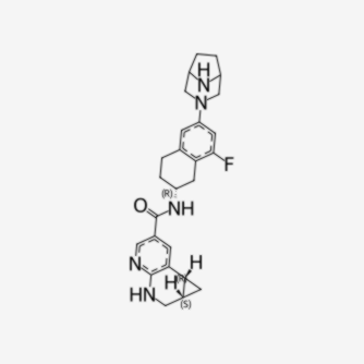 O=C(N[C@@H]1CCc2cc(N3CC4CCC(C3)N4)cc(F)c2C1)c1cnc2c(c1)[C@@H]1C[C@@H]1CN2